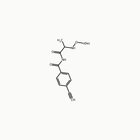 C#Cc1ccc(C(=O)NC(=O)C(C)NOCCCCCCCCCC)cc1